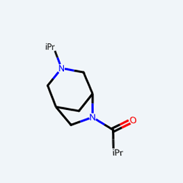 CC(C)C(=O)N1CC2CC1CN(C(C)C)C2